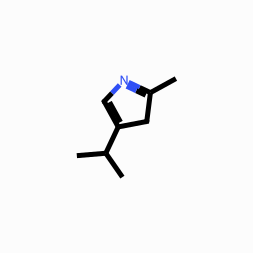 CC1=NC=C(C(C)C)C1